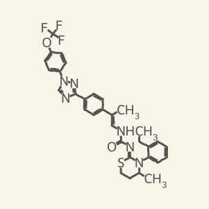 CCc1ccccc1N1/C(=N/C(=O)N/C=C(\C)c2ccc(-c3ncn(-c4ccc(OC(F)(F)F)cc4)n3)cc2)SCCC1C